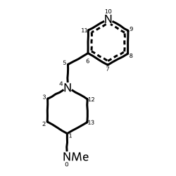 CNC1CCN(Cc2cccnc2)CC1